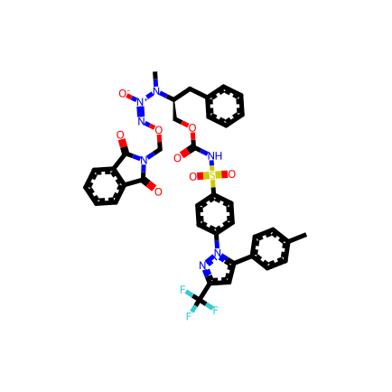 Cc1ccc(-c2cc(C(F)(F)F)nn2-c2ccc(S(=O)(=O)NC(=O)OC[C@H](Cc3ccccc3)N(C)/[N+]([O-])=N\OCN3C(=O)c4ccccc4C3=O)cc2)cc1